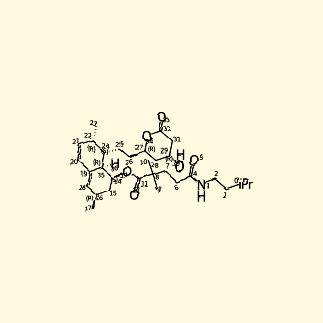 CC(C)CCNC(=O)CCC(C)(C)C(=O)O[C@H]1C[C@@H](C)C=C2C=C[C@H](C)[C@H](CC[C@@H]3C[C@@H](O)CC(=O)O3)[C@H]21